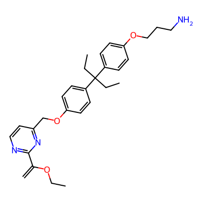 C=C(OCC)c1nccc(COc2ccc(C(CC)(CC)c3ccc(OCCCN)cc3)cc2)n1